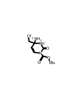 CC(C)(C)OC(=O)N1C=CC(N)(CC(F)(F)F)NC1=O